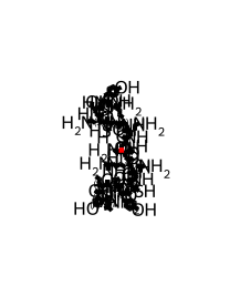 CC[C@H](C)[C@H](NC(=O)[C@@H]1C[C@@H](O)CN1C(=O)[C@@H](N)C(C)C)C(=O)N[C@H](C(=O)N[C@@H](Cc1ccc(O)cc1)C(=O)N[C@H](C(=O)N[C@@H](CC(N)=O)C(=O)N[C@@H](CCCNC(=N)N)C(=O)N[C@@H](CCN)C(=O)N[C@H](C(=O)N[C@H](CCN)C(=O)N[C@@H](CCCCN)C(=O)N[C@@H](CS)C(=O)N[C@@H](CCN)C(=O)N[C@@H](CO)C(=O)N[C@@H](Cc1ccc(O)cc1)C(=O)O)[C@@H](C)O)C(C)(C)S)[C@@H](C)O